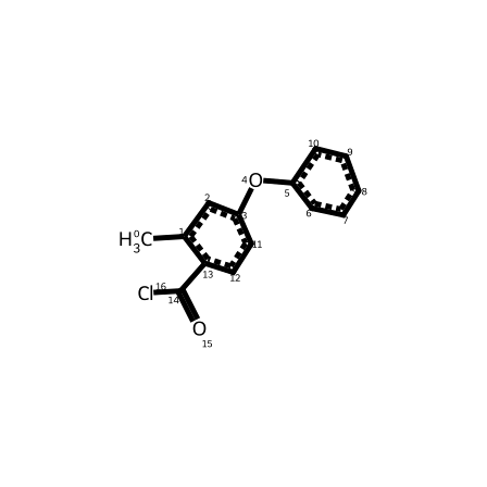 Cc1cc(Oc2ccccc2)ccc1C(=O)Cl